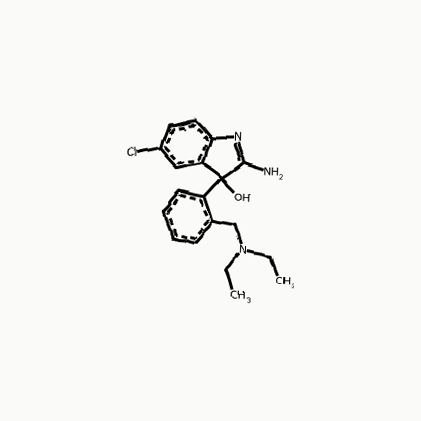 CCN(CC)Cc1ccccc1C1(O)C(N)=Nc2ccc(Cl)cc21